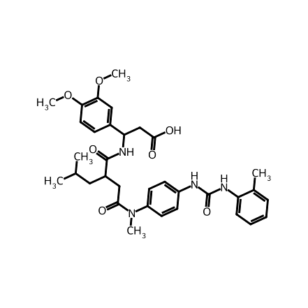 COc1ccc(C(CC(=O)O)NC(=O)C(CC(=O)N(C)c2ccc(NC(=O)Nc3ccccc3C)cc2)CC(C)C)cc1OC